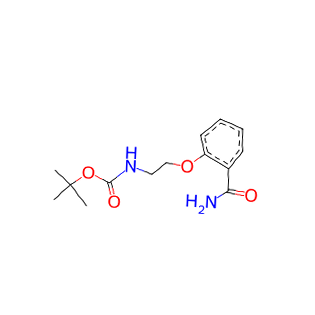 CC(C)(C)OC(=O)NCCOc1ccccc1C(N)=O